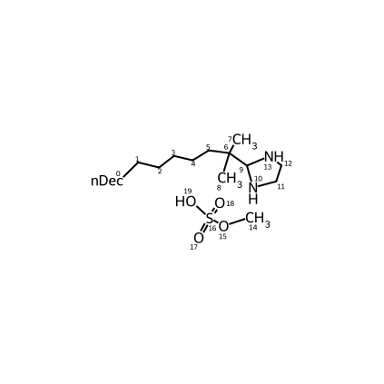 CCCCCCCCCCCCCCCC(C)(C)C1NCCN1.COS(=O)(=O)O